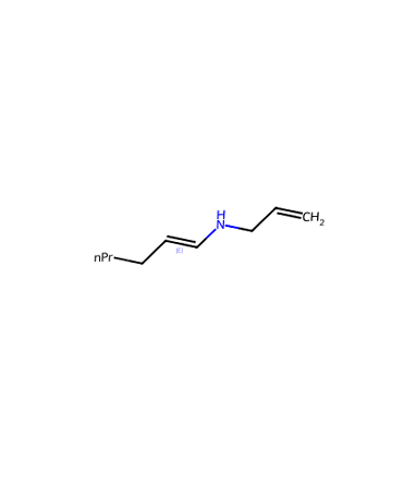 C=CCN/C=C/CCCC